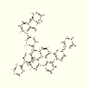 c1ccc(-c2ccc(N(c3ccc(-c4cccc5c4oc4ccccc45)cc3)c3ccc(-c4cc(-c5ccccc5)ccc4-c4ccccc4)cc3-c3ccccc3)cc2)cc1